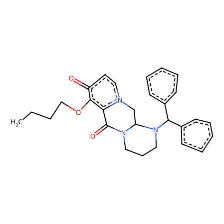 CCCCOc1c2n(ccc1=O)CC1N(CCCN1C(c1ccccc1)c1ccccc1)C2=O